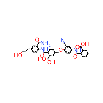 N#Cc1cc(NC(=O)c2ccccc2C(=O)O)ccc1OCc1ccc(C(=O)Nc2ccc(CCCO)cc2C(N)=O)c(C(O)O)c1